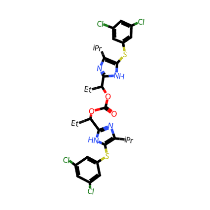 CCC(OC(=O)OC(CC)c1nc(C(C)C)c(Sc2cc(Cl)cc(Cl)c2)[nH]1)c1nc(C(C)C)c(Sc2cc(Cl)cc(Cl)c2)[nH]1